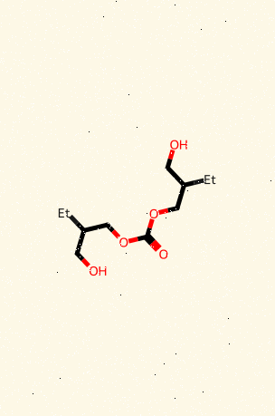 CCC(CO)COC(=O)OCC(CC)CO